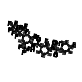 O=C(Nc1c(Br)cc(C(F)(C(F)(F)F)C(F)(F)C(F)(F)F)cc1C(F)(F)F)c1cccc(N(O)C(=O)c2ccc(F)cc2)c1F